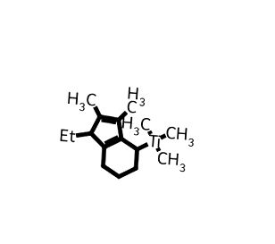 CCC1C(C)=C(C)C2=C1CCC[CH]2[Ti]([CH3])([CH3])[CH3]